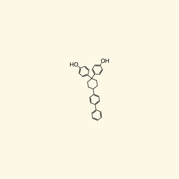 Oc1ccc(C2(c3ccc(O)cc3)CCC(c3ccc(-c4ccccc4)cc3)CC2)cc1